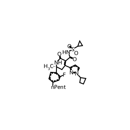 CCCCCc1ccc([C@]2(C)CC(c3ccn(C4CCC4)n3)=C(C(=O)NS(=O)(=O)C3CC3)C(=O)N2)c(F)c1